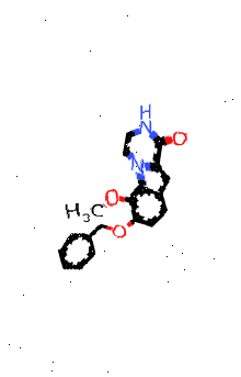 COc1c(OCc2ccccc2)ccc2cc3c(=O)[nH]ccn3c12